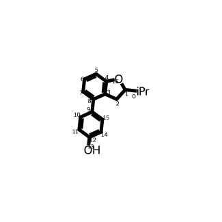 CC(C)C1Cc2c(cccc2-c2ccc(O)cc2)O1